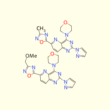 COCc1noc(-c2ccc3nc(-n4cccn4)nc(N4CCOCC4)c3n2)n1.Cc1noc(-c2ccc3nc(-n4cccn4)nc(N4CCOCC4)c3n2)n1